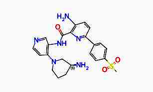 CS(=O)(=O)c1ccc(-c2ccc(N)c(C(=O)Nc3cnccc3N3CCC[C@H](N)C3)n2)cc1